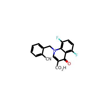 N#Cc1ccccc1Cn1cc(C(=O)O)c(=O)c2c(F)ccc(F)c21